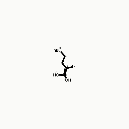 CCCCCCC(I)=C(O)O